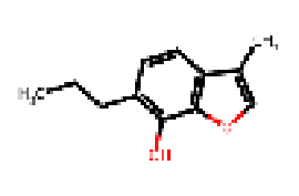 CCCc1ccc2c(C)coc2c1O